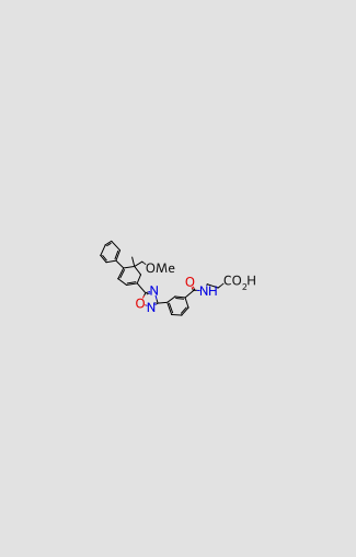 COCC1(C)CC(c2nc(-c3cccc(C(=O)NCCC(=O)O)c3)no2)=CC=C1c1ccccc1